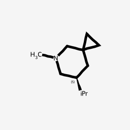 CC(C)[C@H]1CN(C)CC2(CC2)C1